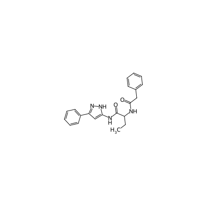 CCC(NC(=O)Cc1ccccc1)C(=O)Nc1cc(-c2ccccc2)n[nH]1